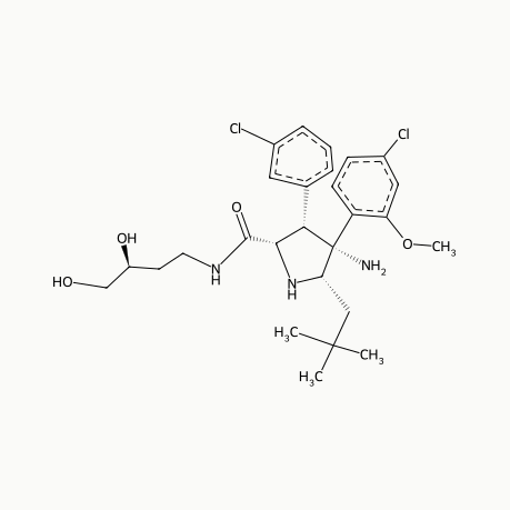 COc1cc(Cl)ccc1[C@@]1(N)[C@H](CC(C)(C)C)N[C@H](C(=O)NCC[C@H](O)CO)[C@@H]1c1cccc(Cl)c1